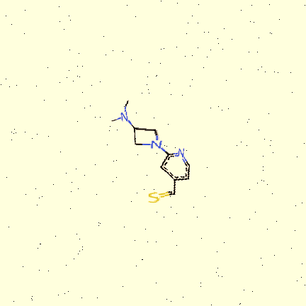 CN(C)C1CN(c2cc(C=S)ccn2)C1